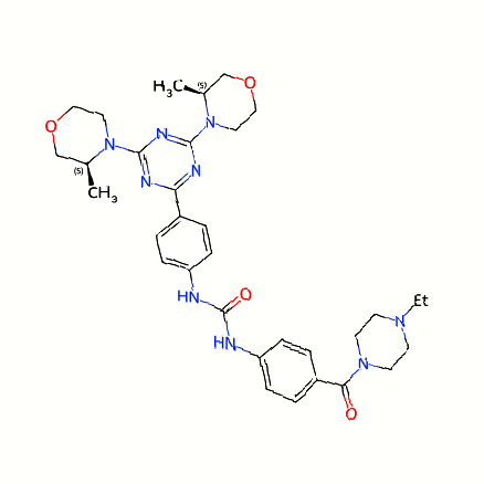 CCN1CCN(C(=O)c2ccc(NC(=O)Nc3ccc(-c4nc(N5CCOC[C@@H]5C)nc(N5CCOC[C@@H]5C)n4)cc3)cc2)CC1